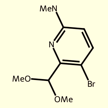 CNc1ccc(Br)c(C(OC)OC)n1